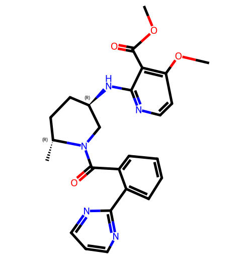 COC(=O)c1c(OC)ccnc1N[C@@H]1CC[C@@H](C)N(C(=O)c2ccccc2-c2ncccn2)C1